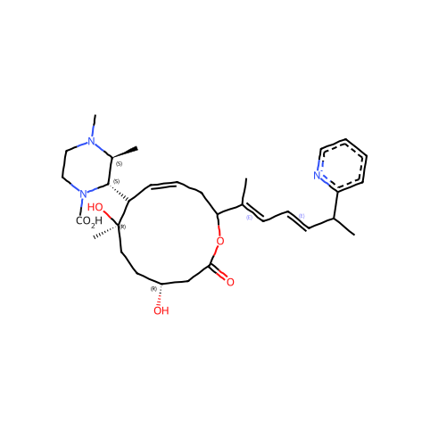 C/C(=C\C=C\C(C)c1ccccn1)C1CC=CC([C@H]2[C@H](C)N(C)CCN2C(=O)O)[C@](C)(O)CC[C@@H](O)CC(=O)O1